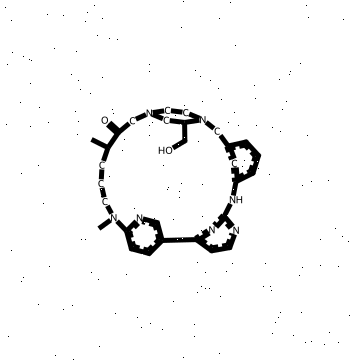 CC1CCCN(C)c2ccc(cn2)-c2ccnc(n2)Nc2cccc(c2)CN2CCN(CC1=O)CC2CO